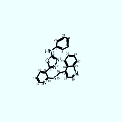 c1ccc(Nc2nnc(-c3cccnc3SCc3ccnc4ccccc34)o2)cc1